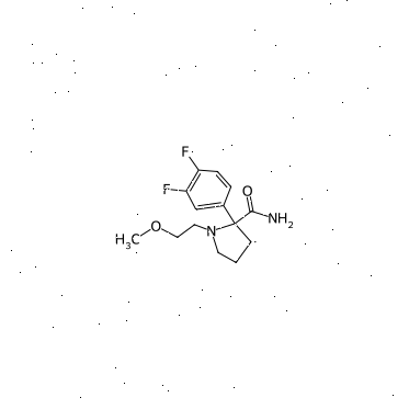 COCCN1CC[CH]C1(C(N)=O)c1ccc(F)c(F)c1